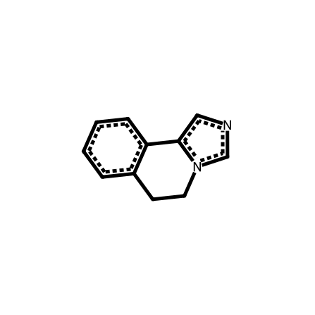 c1ccc2c(c1)CCn1cncc1-2